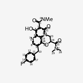 CNC(=O)c1c(O)c2ncc(Cc3ccc(F)cc3)c3c2n(c1=O)CC(C(=O)N(C)C)O3